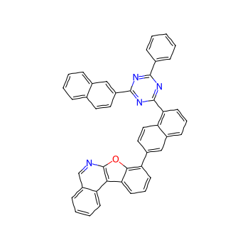 c1ccc(-c2nc(-c3ccc4ccccc4c3)nc(-c3cccc4cc(-c5cccc6c5oc5ncc7ccccc7c56)ccc34)n2)cc1